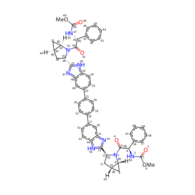 COC(=O)N[C@@H](C(=O)N1[C@@H]2C[C@@H]2C[C@H]1c1nc2cc(-c3ccc(-c4ccc5[nH]c([C@@H]6C[C@H]7C[C@H]7N6C(=O)[C@H](NC(=O)OC)c6ccccc6)nc5c4)cc3)ccc2[nH]1)c1ccccc1